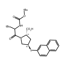 CC(C)(C)OC(=O)NC(C(=O)N1C[C@H](Sc2ccc3ccccc3c2)C[C@H]1C(=O)O)C(C)(C)C